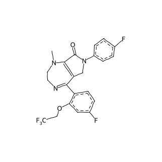 CN1CCN=C(c2ccc(F)cc2OCC(F)(F)F)C2=C1C(=O)N(c1ccc(F)cc1)C2